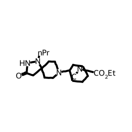 CCCN1NC(=O)CC12CCN(C1CC3CCC1CN3C(=O)OCC)CC2